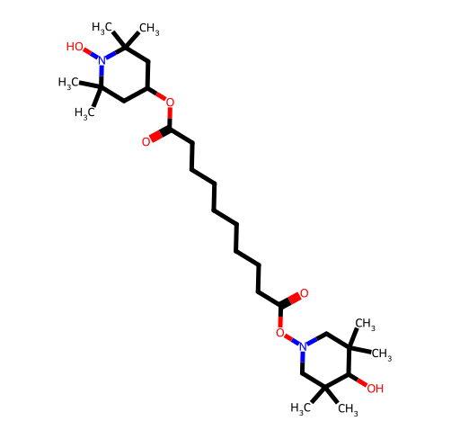 CC1(C)CN(OC(=O)CCCCCCCCC(=O)OC2CC(C)(C)N(O)C(C)(C)C2)CC(C)(C)C1O